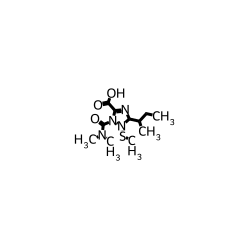 CCC(C)C1N=C(C(=O)O)N(C(=O)N(C)C)N1SC